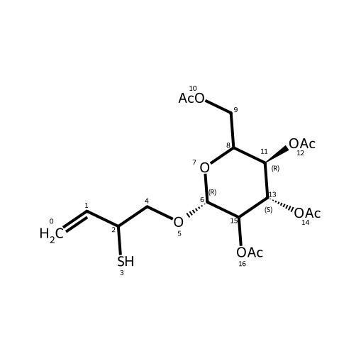 C=CC(S)CO[C@@H]1OC(COC(C)=O)[C@@H](OC(C)=O)[C@H](OC(C)=O)C1OC(C)=O